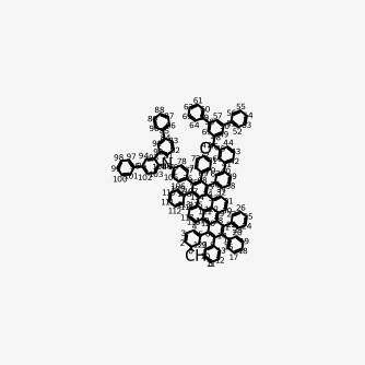 CC1C=CC=C(c2c(-c3ccccc3)c(-c3ccccc3)c(-c3ccccc3)c3c4cccc5c6c(-c7cccc(-c8cccc(C(=O)c9cc(-c%10ccccc%10)cc(-c%10ccccc%10)c9)c8)c7)c(-c7ccccc7)c(-c7ccc(-n8c9ccc(-c%10ccccc%10)cc9c9cc(-c%10ccccc%10)ccc98)cc7)c(-c7ccccc7)c6c6cccc(c23)c6c45)C1